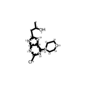 CC(O)Cc1nc2nc(Cl)nc(N3CCOCC3)c2s1